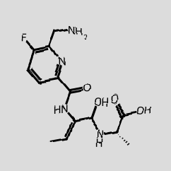 C/C=C(\NC(=O)c1ccc(F)c(CN)n1)C(O)N[C@@H](C)C(=O)O